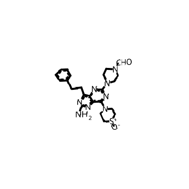 Nc1nc(CCc2ccccc2)c2nc(N3CCN(C=O)CC3)nc(N3CC[S+]([O-])CC3)c2n1